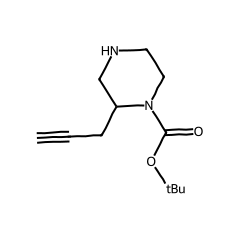 C#CCC1CNCCN1C(=O)OC(C)(C)C